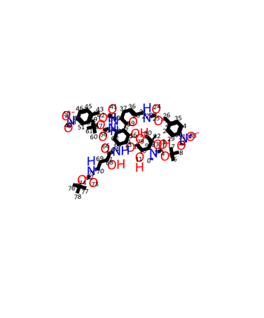 CN(C(=O)OC(C)(C)C)[C@@H]1[C@@H](O)[C@@H](O[C@@H]2[C@@H](O)[C@H](C3OC(CNC(=O)OCc4ccc([N+](=O)[O-])cc4)=CC[C@H]3NC(=O)OCc3ccc([N+](=O)[O-])cc3)[C@@H](NC(=O)OC(C)(C)C)C[C@H]2NC(=O)[C@@H](O)CCNC(=O)OC(C)(C)C)OC[C@]1(C)O